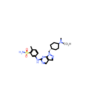 Cc1ccc(Nc2ncc3cnn(C[C@H]4CC[C@H](N(C)C(=O)O)CC4)c3n2)cc1S(N)(=O)=O